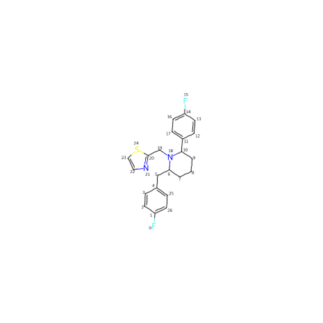 Fc1ccc(CC2CCCC(c3ccc(F)cc3)N2Cc2nccs2)cc1